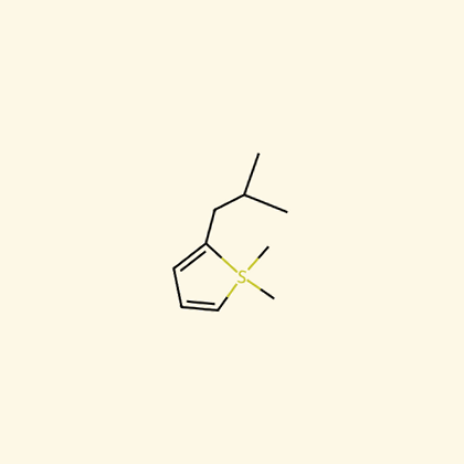 CC(C)CC1=CC=CS1(C)C